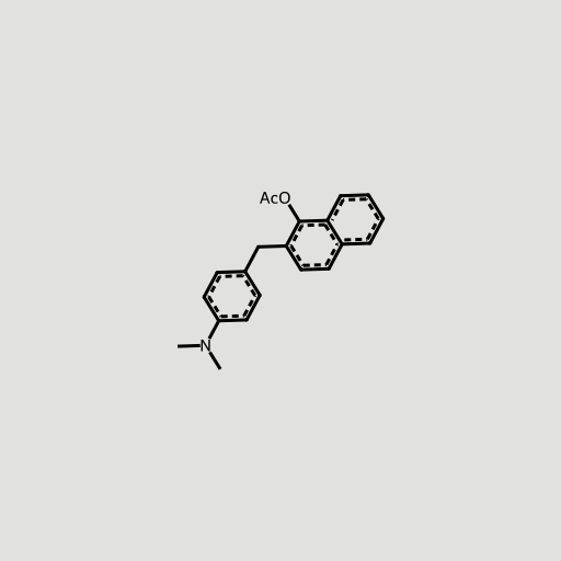 CC(=O)Oc1c(Cc2ccc(N(C)C)cc2)ccc2ccccc12